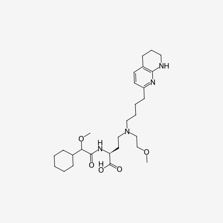 COCCN(CCCCc1ccc2c(n1)NCCC2)CC[C@H](NC(=O)C(OC)C1CCCCC1)C(=O)O